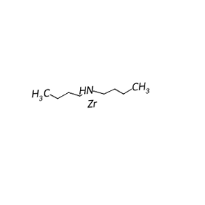 CCCCNCCCC.[Zr]